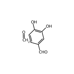 C=O.O=Cc1ccc(O)c(O)c1